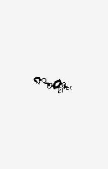 CCC(CC)Oc1ccc(OCCOc2ccccn2)cc1